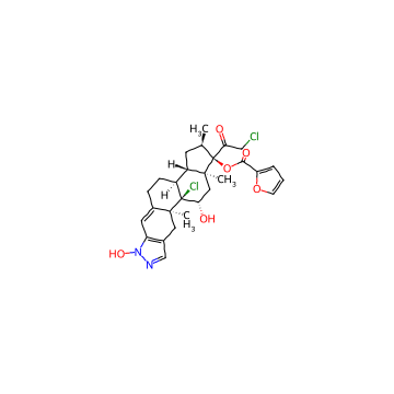 C[C@@H]1C[C@H]2[C@@H]3CCC4=Cc5c(cnn5O)C[C@]4(C)[C@@]3(Cl)[C@@H](O)C[C@]2(C)[C@@]1(OC(=O)c1ccco1)C(=O)CCl